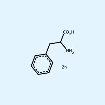 NC(Cc1ccccc1)C(=O)O.[Zn]